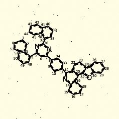 c1ccc2c(-c3cc(-c4ccc(-c5nc6ccccc6c6c5ccc5c7ccccc7oc56)cc4)nc(-c4cccc5ccccc45)n3)cccc2c1